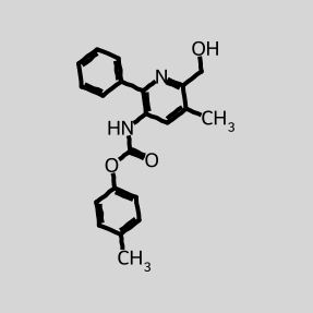 Cc1ccc(OC(=O)Nc2cc(C)c(CO)nc2-c2ccccc2)cc1